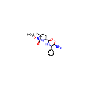 NC(=O)C(NC(=O)[C@@H]1CC[C@@H]2CN1C(=O)N2OS(=O)(=O)O)c1ccccc1